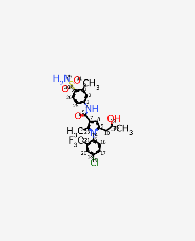 Cc1cc(NC(=O)c2cc(C[C@H](C)O)n(-c3ccc(Cl)cc3C(F)(F)F)c2C)ccc1S(N)(=O)=O